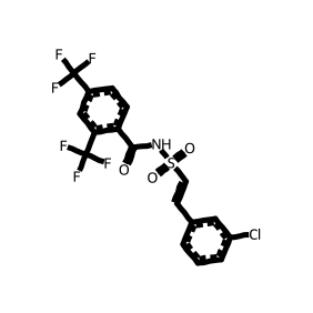 O=C(NS(=O)(=O)/C=C/c1cccc(Cl)c1)c1ccc(C(F)(F)F)cc1C(F)(F)F